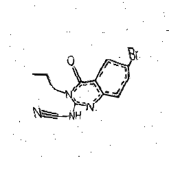 CCCn1c(NC#N)nc2ccc(Br)cc2c1=O